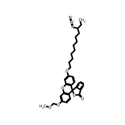 CCC(CCCCCCCCCOc1ccc2c(c1)Oc1cc(OCOC)ccc1C21OC(=O)c2ccccc21)N=[N+]=[N-]